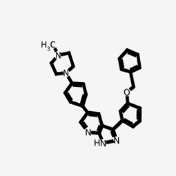 CN1CCN(c2ccc(-c3cnc4[nH]nc(-c5cccc(OCc6ccccc6)c5)c4c3)cc2)CC1